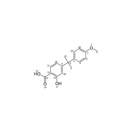 COc1ccc(C(C)(C)c2ccc(C(=O)O)c(O)c2)cc1